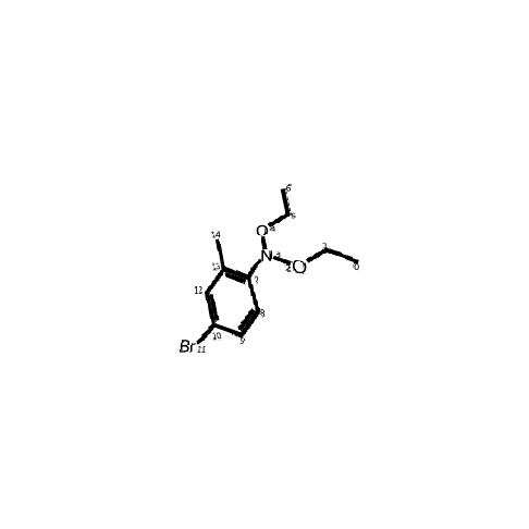 CCON(OCC)c1ccc(Br)cc1C